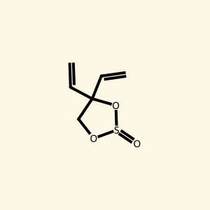 C=CC1(C=C)COS(=O)O1